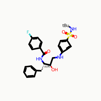 CC(C)(C)NS(=O)(=O)c1ccc(NC[C@@H](O)[C@H](Cc2ccccc2)NC(=O)c2ccc(F)cc2)cc1